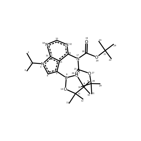 CC(C)n1cc(B2OC(C)(C)C(C)(C)O2)c2c(N(C(=O)OC(C)(C)C)C(=O)OC(C)(C)C)ncnc21